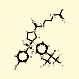 CC(=O)NCCNC(=O)N1CC[C@](c2ccc(C(F)(C(F)(F)F)C(F)(F)F)cc2)(S(=O)(=O)c2ccc(F)cc2)C1